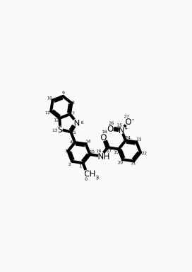 Cc1ccc(-c2nc3ccccc3s2)cc1NC(=O)c1ccccc1[N+](=O)[O-]